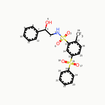 O=S(=O)(NC[C@H](O)c1ccccc1)c1cc(S(=O)(=O)c2ccccc2)ccc1C(F)(F)F